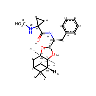 CC1(C)C2C[C@H]3OB([C@H](Cc4ccccc4)NC(=O)C4(NC(=O)O)CC4)O[C@@]3(C)[C@H]1C2